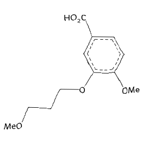 COCCCOc1cc(C(=O)O)ccc1OC